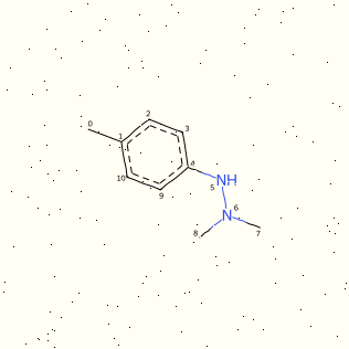 Cc1ccc(NN(C)C)cc1